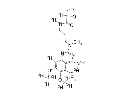 [2H]c1c(OC([2H])([2H])[2H])c(OC([2H])([2H])[2H])c(C)c2c(N([2H])[2H])nc(N(C)CCCN([2H])C(=O)C3([2H])CCCO3)nc12